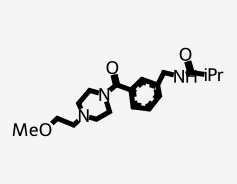 COCCN1CCN(C(=O)c2cccc(CNC(=O)C(C)C)c2)CC1